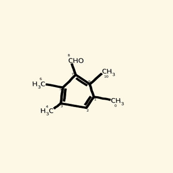 Cc1cc(C)c(C)c(C=O)c1C